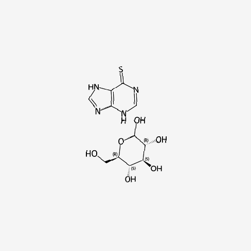 OC[C@H]1OC(O)[C@H](O)[C@@H](O)[C@@H]1O.S=c1nc[nH]c2nc[nH]c12